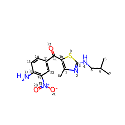 Cc1nc(NCC(C)C)sc1C(=O)c1ccc(N)c([N+](=O)[O-])c1